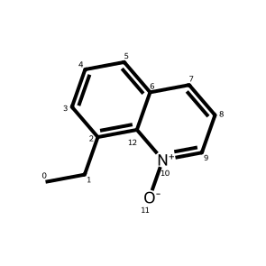 CCc1cccc2ccc[n+]([O-])c12